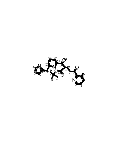 Cc1cccnc1C(=O)CCC(C(=O)OC(C)(C)C)C(=O)c1cccc(Cc2cscn2)n1